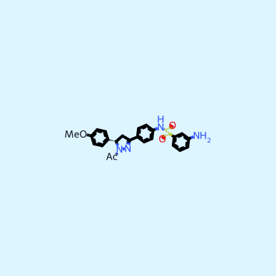 COc1ccc([C@@H]2CC(c3ccc(NS(=O)(=O)c4cccc(N)c4)cc3)=NN2C(C)=O)cc1